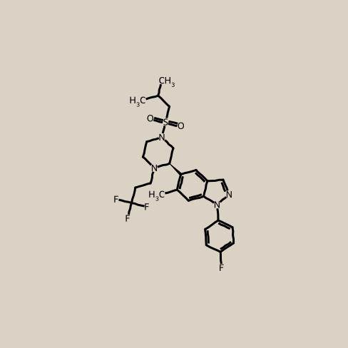 Cc1cc2c(cnn2-c2ccc(F)cc2)cc1[C@@H]1CN(S(=O)(=O)CC(C)C)CCN1CCC(F)(F)F